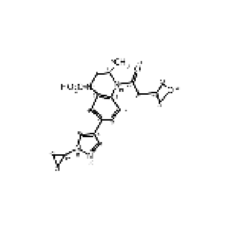 C[C@H]1CN(C(=O)O)c2cc(-c3cnn(C4CC4)c3)ccc2N1C(=O)CC1COC1